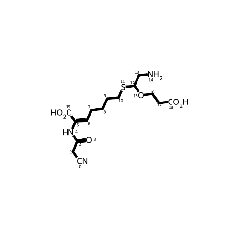 N#CCC(=O)NC(=CCCCCSC(CN)OCCC(=O)O)C(=O)O